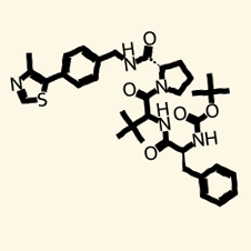 Cc1ncsc1-c1ccc(CNC(=O)[C@@H]2CCCN2C(=O)C(NC(=O)[C@H](Cc2ccccc2)NC(=O)OC(C)(C)C)C(C)(C)C)cc1